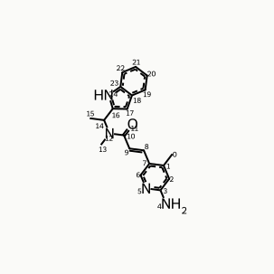 Cc1cc(N)ncc1C=CC(=O)N(C)C(C)c1cc2ccccc2[nH]1